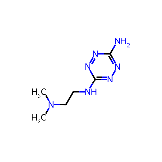 CN(C)CCNc1nnc(N)nn1